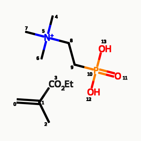 C=C(C)C(=O)OCC.C[N+](C)(C)CCP(=O)(O)O